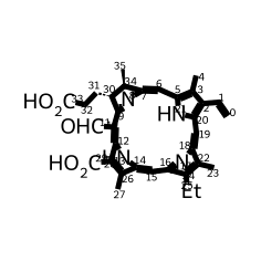 C=Cc1c(C)c2cc3nc(c(C=O)c4[nH]c(cc5nc(cc1[nH]2)C(C)=C5CC)c(C)c4C(=O)O)[C@H](CCC(=O)O)[C@H]3C